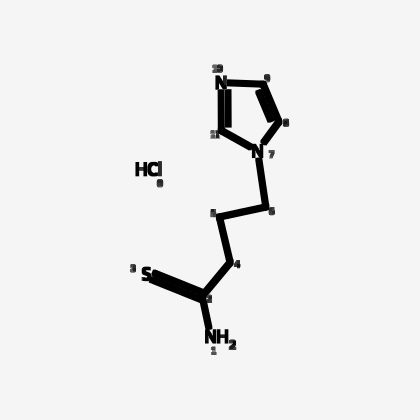 Cl.NC(=S)CCCn1ccnc1